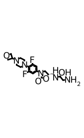 NCC(O)NC[C@H]1CN(c2cc(F)c(N3CCN(C4COC4)CC3)c(F)c2)C(=O)O1